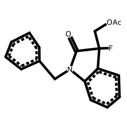 CC(=O)OCC1(F)C(=O)N(Cc2ccccc2)c2ccccc21